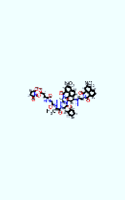 CC(NC(=O)CNC(=O)CCC(=O)ON1C(=O)CCC1=O)C(=O)N[C@@H](Cc1ccccc1)C(=O)N(CCCNCCN1C(=O)c2cccc3cc([N+](=O)[O-])cc(c23)C1=O)CCN1C(=O)c2cccc3cc([N+](=O)[O-])cc(c23)C1=O